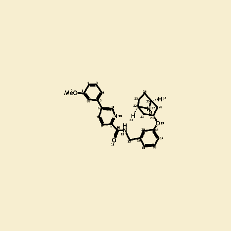 COc1cccc(-c2ccc(C(=O)NCc3cccc(O[C@H]4C[C@H]5CC[C@@H](C4)N5C)c3)nc2)c1